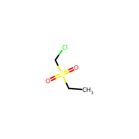 CCS(=O)(=O)CCl